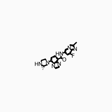 Cc1cn2cc(NC(=O)c3ccc(N4CCN[C@@H](C)C4)c4nccnc34)cc(F)c2n1